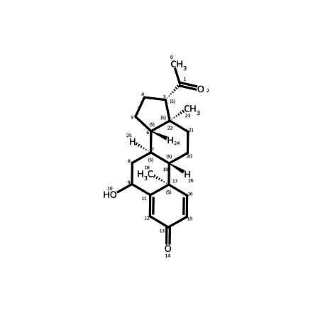 CC(=O)[C@H]1CC[C@H]2[C@@H]3CC(O)C4=CC(=O)C=C[C@]4(C)[C@H]3CC[C@]12C